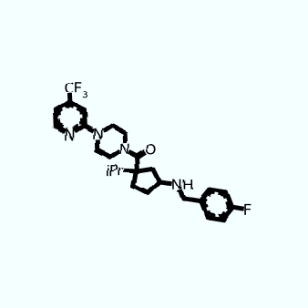 CC(C)C1(C(=O)N2CCN(c3cc(C(F)(F)F)ccn3)CC2)CCC(NCc2ccc(F)cc2)C1